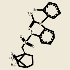 CC1(C)C2CC[C@@]1(CS(=O)(=O)Nc1ccccc1N(C(N)=O)c1ccccc1Br)C(=O)C2